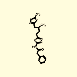 CC(CCc1nnc(NC(=O)Cc2ccccc2)s1)Cc1nnc(N)s1